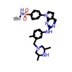 Cc1ccc(Nc2ncc3ccn(-c4ccc(S(=O)(=O)NC(C)(C)C)cc4)c3n2)cc1CN1CC(C)NC(C)C1